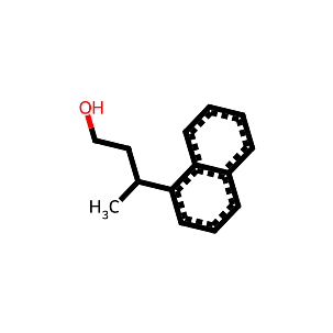 CC(CCO)c1cccc2ccccc12